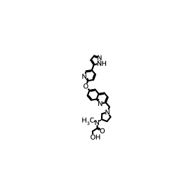 CN(C(=O)CO)[C@@H]1CCN(Cc2ccc3cc(Oc4ccc(-c5ccn[nH]5)cn4)ccc3n2)C1